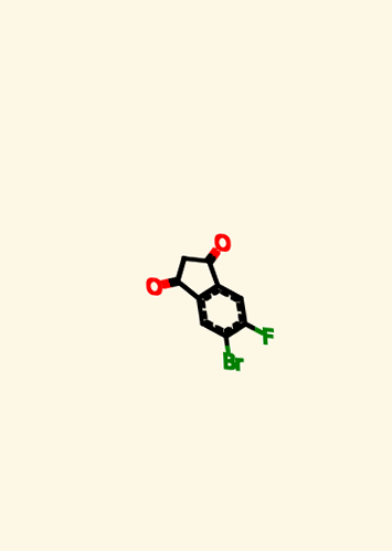 O=C1CC(=O)c2cc(Br)c(F)cc21